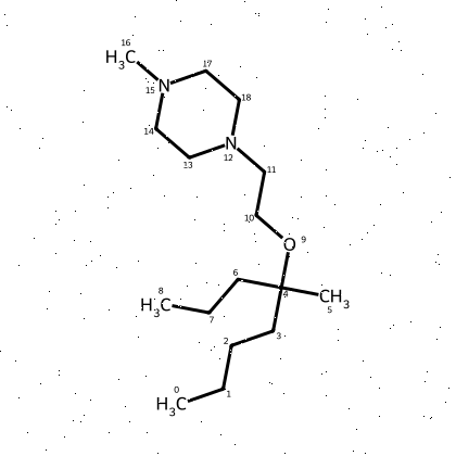 CCCCC(C)(CCC)OCCN1CCN(C)CC1